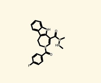 CNN(C)C(=O)C1=CN(C(=O)c2ccc(F)cc2)CCc2c1[nH]c1ccccc21